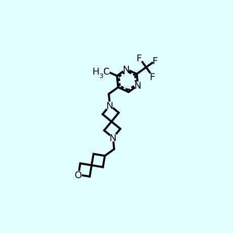 Cc1nc(C(F)(F)F)ncc1CN1CC2(C1)CN(CC1CC3(COC3)C1)C2